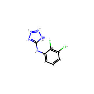 Clc1cccc([N]c2nnn[nH]2)c1Cl